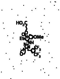 CC[C@@H]1C[C@H](Nc2ncc(N3CCOCC3)c(Cc3cc(C(F)(F)F)cc(C(F)(F)F)c3)n2)c2cc(OC)ccc2N1C(=O)OCCCCC(=O)O